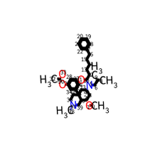 COC1CC(N(CC(C)C)C(=O)CCCCCc2ccccc2)CC2(c3cccc(OC(C)=O)c3)CCN(C)CC12